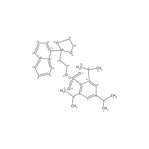 CC(C)c1cc(C(C)C)c(S(=O)(=O)OCCC2(c3cccc4ccccc34)OCCO2)c(C(C)C)c1